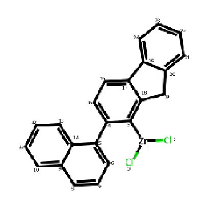 [Cl][Zr]([Cl])[c]1c(-c2cccc3ccccc23)ccc2c1Cc1ccccc1-2